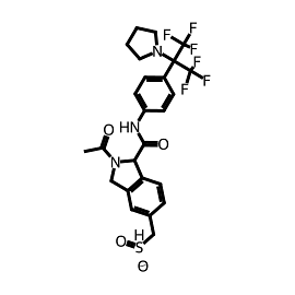 CC(=O)N1Cc2cc(C[SH](=O)=O)ccc2C1C(=O)Nc1ccc(C(N2CCCC2)(C(F)(F)F)C(F)(F)F)cc1